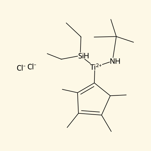 CC[SiH](CC)[Ti+2]([NH]C(C)(C)C)[C]1=C(C)C(C)=C(C)C1C.[Cl-].[Cl-]